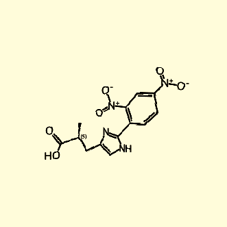 C[C@@H](Cc1c[nH]c(-c2ccc([N+](=O)[O-])cc2[N+](=O)[O-])n1)C(=O)O